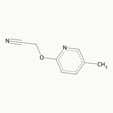 Cc1ccc(OCC#N)nc1